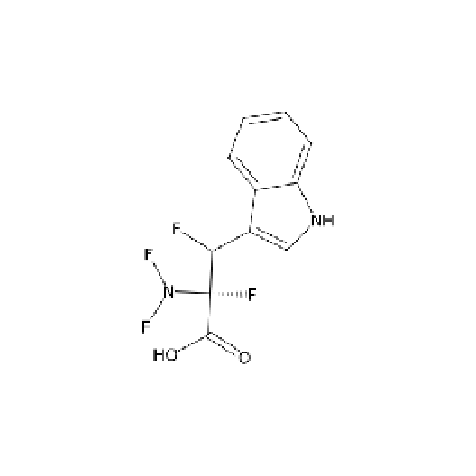 O=C(O)[C@](F)(C(F)c1c[nH]c2ccccc12)N(F)F